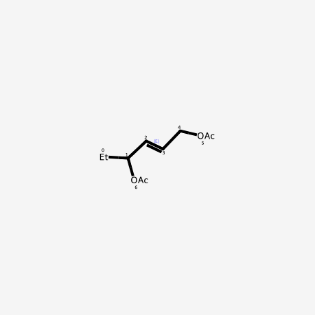 CCC(/C=C/COC(C)=O)OC(C)=O